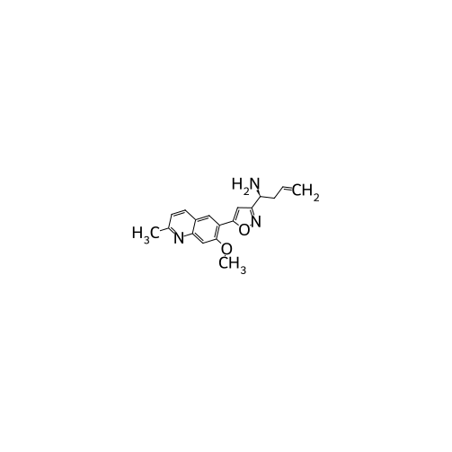 C=CC[C@H](N)c1cc(-c2cc3ccc(C)nc3cc2OC)on1